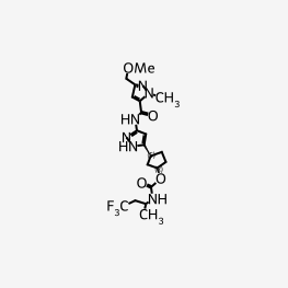 COCc1cc(C(=O)Nc2cc([C@H]3CC[C@@H](OC(=O)NC(C)CC(F)(F)F)C3)[nH]n2)n(C)n1